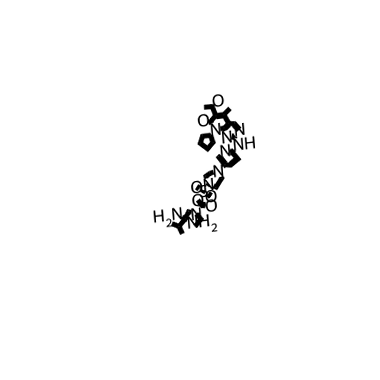 CCN(CC(N)(N)C(C)C)C(=O)OS(=O)(=O)N1CCN(c2ccc(Nc3ncc4c(C)c(C(C)=O)c(=O)n(C5CCCC5)c4n3)nc2)CC1